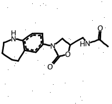 CC(=O)NCC1CN(c2ccc3c(c2)CCCCN3)C(=O)O1